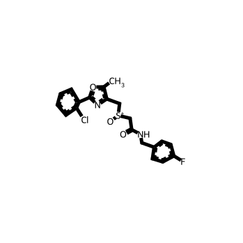 Cc1oc(-c2ccccc2Cl)nc1C[S+]([O-])CC(=O)NCc1ccc(F)cc1